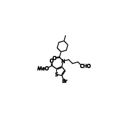 COC(=O)c1sc(Br)cc1N(CCCC=O)C(=O)C1CCC(C)CC1